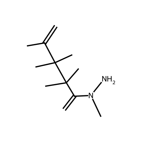 C=C(C)C(C)(C)C(C)(C)C(=C)N(C)N